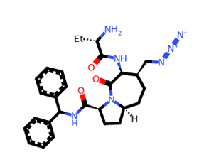 CC[C@H](N)C(=O)N[C@@H]1C(=O)N2[C@@H](CC[C@@H]1CN=[N+]=[N-])CC[C@H]2C(=O)NC(c1ccccc1)c1ccccc1